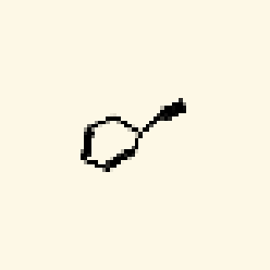 C#CC1C=CC=CC1